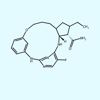 CCC1CC2CCCOc3cccc(c3)Nc3ncc(F)c(n3)N[C@H]2[C@H]1C(N)=O